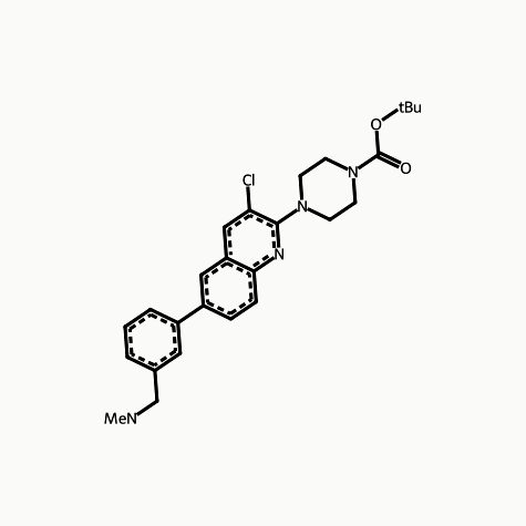 CNCc1cccc(-c2ccc3nc(N4CCN(C(=O)OC(C)(C)C)CC4)c(Cl)cc3c2)c1